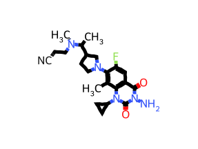 Cc1c(N2CCC(C(C)N(C)CCC#N)C2)c(F)cc2c(=O)n(N)c(=O)n(C3CC3)c12